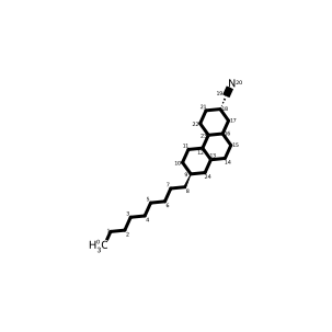 CCCCCCCCC[C@H]1CCC2C(CCC3C[C@@H](C#N)CCC32)C1